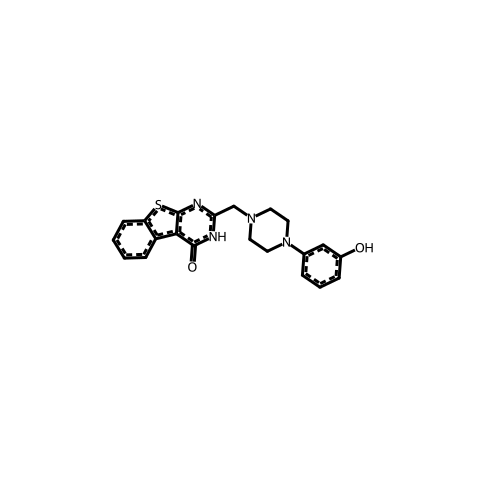 O=c1[nH]c(CN2CCN(c3cccc(O)c3)CC2)nc2sc3ccccc3c12